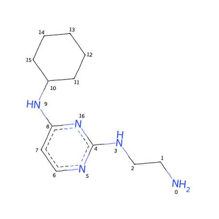 NCCNc1nccc(NC2CCCCC2)n1